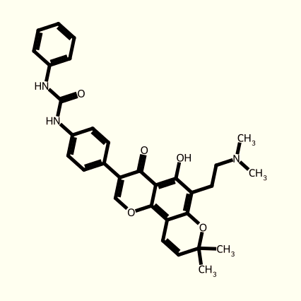 CN(C)CCc1c2c(c3occ(-c4ccc(NC(=O)Nc5ccccc5)cc4)c(=O)c3c1O)C=CC(C)(C)O2